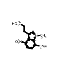 COc1ccc([N+](=O)[O-])c2c(CCC(=O)O)cn(C)c12